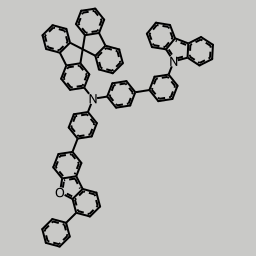 c1ccc(-c2cccc3c2oc2ccc(-c4ccc(N(c5ccc(-c6cccc(-n7c8ccccc8c8ccccc87)c6)cc5)c5ccc6c(c5)C5(c7ccccc7-c7ccccc75)c5ccccc5-6)cc4)cc23)cc1